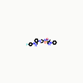 Cc1c(S(=O)(=O)N[C@H]2CCN(c3cccc4c3cnn4-c3ccc(F)cc3)C2)cnn1-c1ccccc1